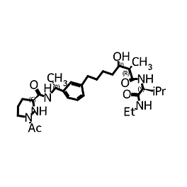 CCNC(=O)[C@@H](NC(=O)[C@H](C)[C@H](O)CCCCc1cccc([C@@H](C)NC(=O)[C@@H]2CCCN(C(C)=O)N2)c1)C(C)C